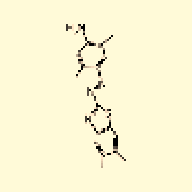 Cc1cc2nc(/N=N/c3cc(C)c(N)cc3C)sc2cc1C